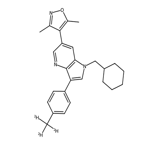 [2H]C([2H])([2H])c1ccc(-c2cn(CC3CCCCC3)c3cc(-c4c(C)noc4C)cnc23)cc1